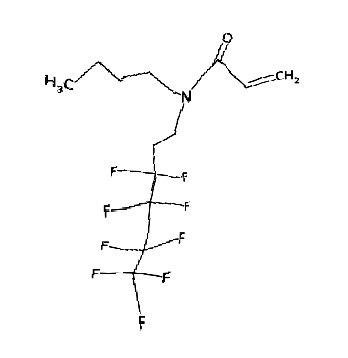 C=CC(=O)N(CCCC)CCC(F)(F)C(F)(F)C(F)(F)C(F)(F)F